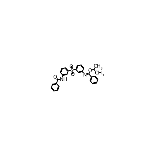 CC(C)O/C(=N\c1cccc(S(=O)(=O)c2cccc(NC(=O)c3ccccc3)c2)c1)c1ccccc1